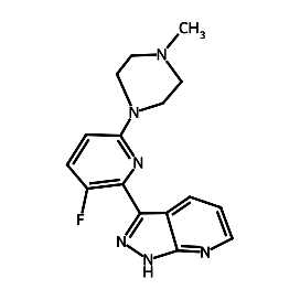 CN1CCN(c2ccc(F)c(-c3n[nH]c4ncccc34)n2)CC1